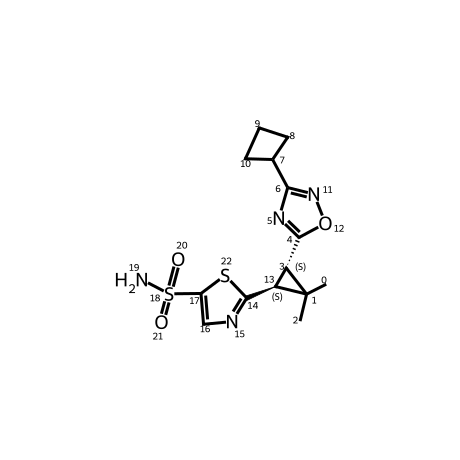 CC1(C)[C@@H](c2nc(C3CCC3)no2)[C@@H]1c1ncc(S(N)(=O)=O)s1